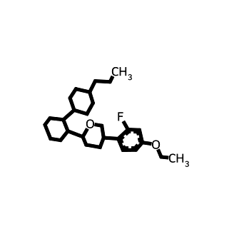 CCCC1CCC(C2CCCCC2C2CCC(c3ccc(OCC)cc3F)CO2)CC1